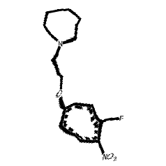 O=[N+]([O-])c1ccc(OCCN2CCCCC2)cc1F